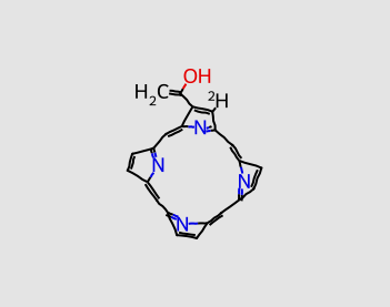 [2H]C1=C(C(=C)O)C2=CC3=NC(=CC4=NC(=CC5=NC(=CC1=N2)C=C5)C=C4)C=C3